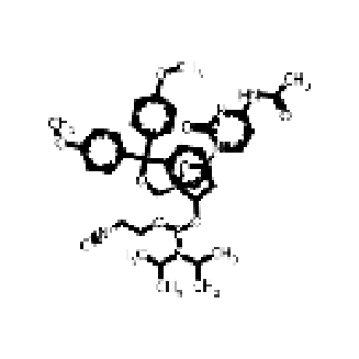 [C-]#[N+]CCOP(OC1C[C@H](n2ccc(NC(C)=O)nc2=O)O[C@@H]1COC(c1ccccc1)(c1ccc(OC)cc1)c1ccc(OC)cc1)N(C(C)C)C(C)C